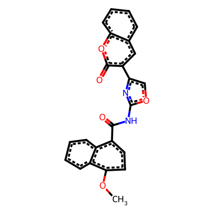 COc1ccc(C(=O)Nc2nc(-c3cc4ccccc4oc3=O)co2)c2ccccc12